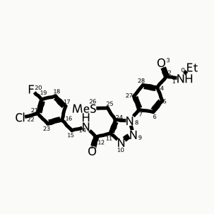 CCNC(=O)c1ccc(-n2nnc(C(=O)NCc3ccc(F)c(Cl)c3)c2CSC)cc1